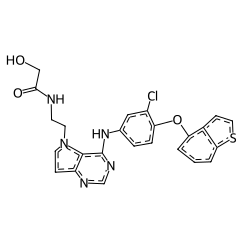 O=C(CO)NCCn1ccc2ncnc(Nc3ccc(Oc4cccc5sccc45)c(Cl)c3)c21